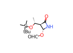 C[C@@H](O[Si](C)(C)C(C)(C)C)[C@H]1C(=O)N[C@@H]1OC=O